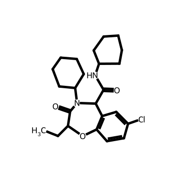 CCC1Oc2ccc(Cl)cc2C(C(=O)NC2CCCCC2)N(C2CCCCC2)C1=O